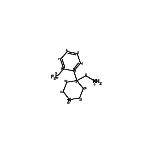 NCC1(c2ccccc2C(F)(F)F)CC[N]CC1